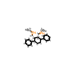 CCCCPC[C@@H]1C(c2ccccc2)CCC(c2ccccc2)[C@@H]1CPCCCC